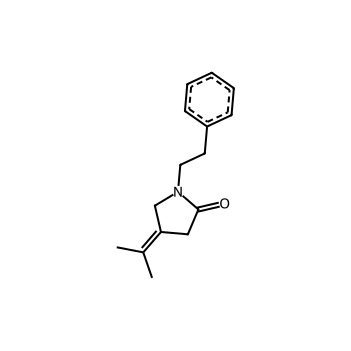 CC(C)=C1CC(=O)N(CCc2ccccc2)C1